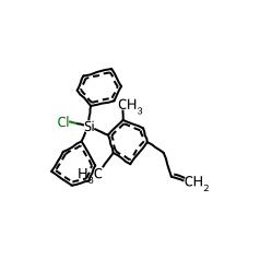 C=CCc1cc(C)c([Si](Cl)(c2ccccc2)c2ccccc2)c(C)c1